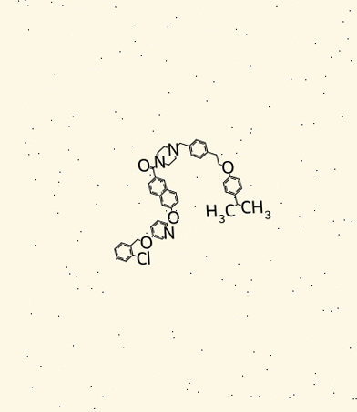 CC(C)c1ccc(OCCc2ccc(CN3CCN(C(=O)c4ccc5cc(Oc6ccc(OCc7ccccc7Cl)cn6)ccc5c4)CC3)cc2)cc1